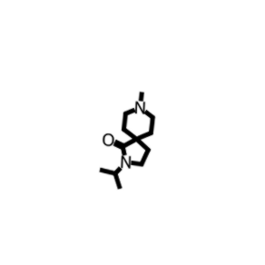 CC(C)N1CCC2(CCN(C)CC2)C1=O